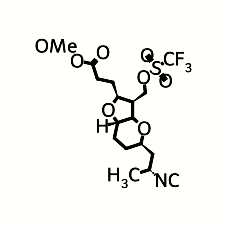 [C-]#[N+][C@H](C)C[C@H]1CC[C@@H]2O[C@@H](CCC(=O)OOC)[C@@H](COS(=O)(=O)C(F)(F)F)C2O1